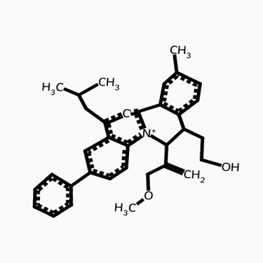 C=C(COC)C1C(CCO)c2ccc(C)cc2-c2cc(CC(C)C)c3cc(-c4ccccc4)ccc3[n+]21